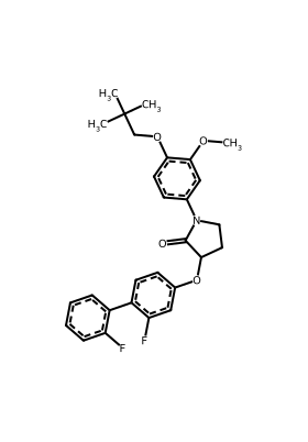 COc1cc(N2CCC(Oc3ccc(-c4ccccc4F)c(F)c3)C2=O)ccc1OCC(C)(C)C